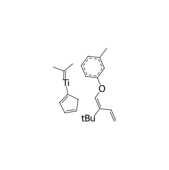 C=CC(=COc1cccc(C)c1)C(C)(C)C.C[C](C)=[Ti][C]1=CC=CC1